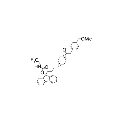 COCc1ccc(CC(=O)N2CCN(CCCCC3(OC(=O)NCC(F)(F)F)c4ccccc4-c4ccccc43)CC2)cc1